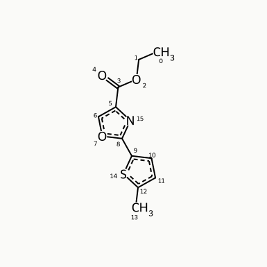 CCOC(=O)c1coc(-c2ccc(C)s2)n1